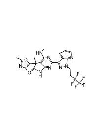 CNc1nc(-c2nn(CCC(F)(F)C(F)(F)F)c3ncccc23)nc2c1C(C)(c1nnc(C)o1)C(=O)N2